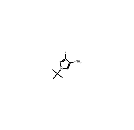 CC(C)(C)n1cc(N)c(F)n1